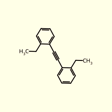 CCc1ccccc1C#Cc1ccccc1CC